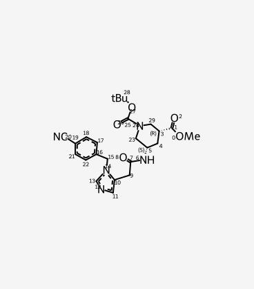 COC(=O)[C@@H]1C[C@H](NC(=O)Cc2cncn2Cc2ccc(C#N)cc2)CN(C(=O)OC(C)(C)C)C1